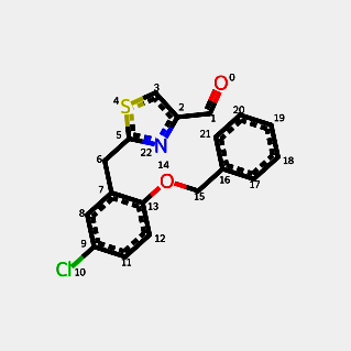 O=Cc1csc(Cc2cc(Cl)ccc2OCc2ccccc2)n1